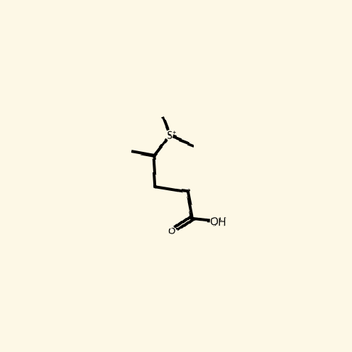 CC(CCC(=O)O)[S+](C)C